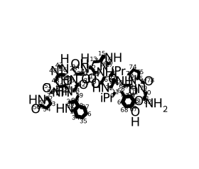 CC(C)C[C@H](NC(=O)[C@@H](CC(C)C)NC(=O)[C@H](Cc1c[nH]cn1)NC(=O)[C@H](CO)NC(=O)[C@H](Cc1c[nH]c2ccccc12)NC(=O)[C@H](Cc1c[nH]cn1)NC(=O)[C@@H]1CCC(=O)N1)C(=O)N[C@@H](Cc1ccc(O)cc1)C(=O)N1CCC[C@H]1C(=O)NCC(N)=O